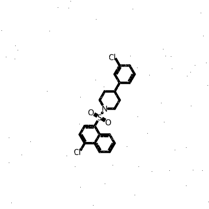 O=S(=O)(c1ccc(Cl)c2ccccc12)N1CCC(C2C=CCC(Cl)=C2)CC1